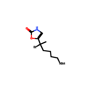 CCCCCCCCCCCCC(C)(CC)c1c[nH]c(=O)o1